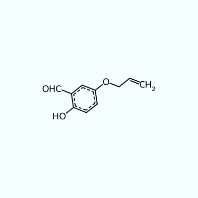 C=CCOc1ccc(O)c(C=O)c1